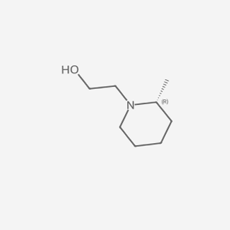 C[C@@H]1CCCCN1CCO